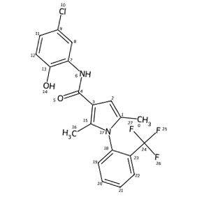 Cc1cc(C(=O)Nc2cc(Cl)ccc2O)c(C)n1-c1ccccc1C(F)(F)F